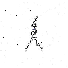 CCCCCCCCCCN(CCCCCCCCCC)c1ccc(/C=C/c2cc[n+](CCCC)cc2)c(F)c1